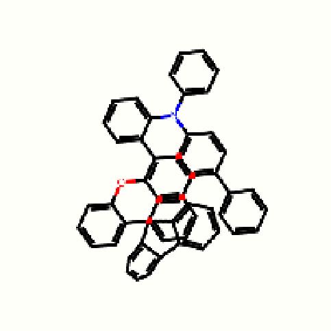 c1ccc(-c2ccc(N(c3ccccc3)c3ccccc3-c3cccc4c3Oc3ccccc3C43c4ccccc4-c4ccccc43)cc2-c2ccccc2)cc1